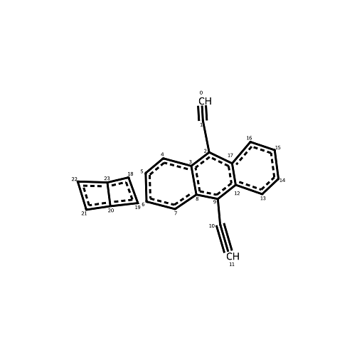 C#Cc1c2ccccc2c(C#C)c2ccccc12.c1cc2ccc1-2